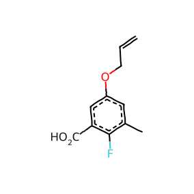 C=CCOc1cc(C)c(F)c(C(=O)O)c1